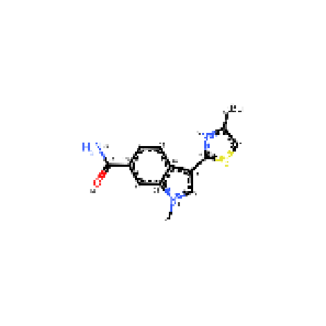 Cn1cc(-c2nc(C(C)(C)C)cs2)c2ccc(C(N)=O)cc21